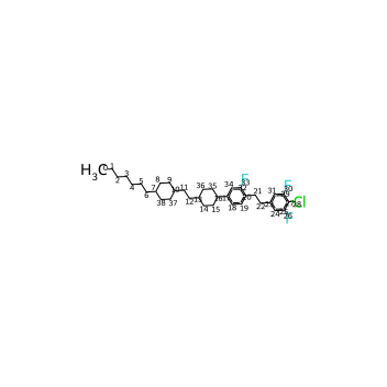 CCCCCCCC1CCC(CCC2CCC(c3ccc(CCc4cc(F)c(Cl)c(F)c4)c(F)c3)CC2)CC1